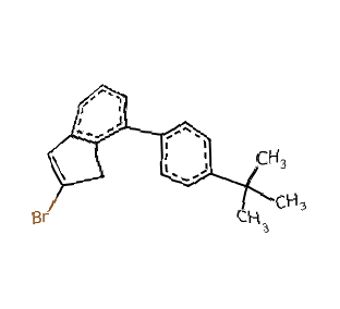 CC(C)(C)c1ccc(-c2cccc3c2CC(Br)=C3)cc1